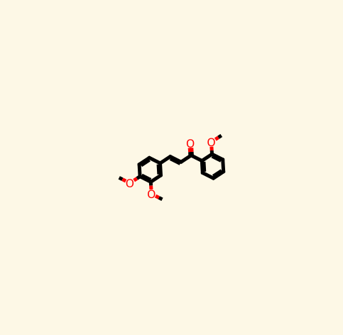 COc1ccc(C=CC(=O)c2ccccc2OC)cc1OC